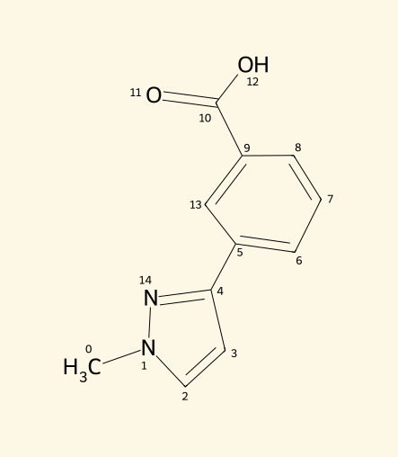 Cn1ccc(-c2cccc(C(=O)O)c2)n1